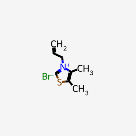 C=CC[n+]1csc(C)c1C.[Br-]